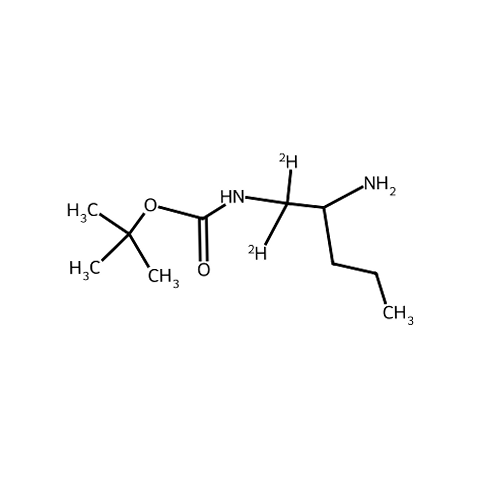 [2H]C([2H])(NC(=O)OC(C)(C)C)C(N)CCC